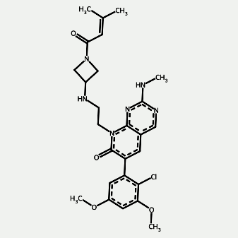 CNc1ncc2cc(-c3cc(OC)cc(OC)c3Cl)c(=O)n(CCNC3CN(C(=O)C=C(C)C)C3)c2n1